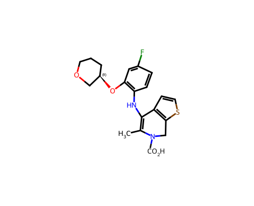 CC1=C(Nc2ccc(F)cc2O[C@@H]2CCCOC2)c2ccsc2CN1C(=O)O